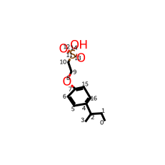 CCC(C)c1ccc(OCCS(=O)(=O)O)cc1